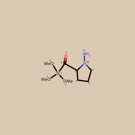 CO[Si](OC)(OC)C(=O)C1CCCN1N